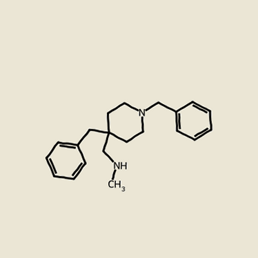 CNCC1(Cc2ccccc2)CCN(Cc2ccccc2)CC1